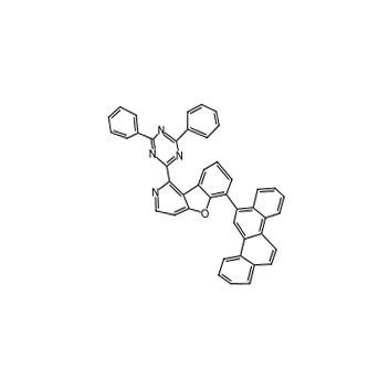 c1ccc(-c2nc(-c3ccccc3)nc(-c3nccc4oc5c(-c6cc7c8ccccc8ccc7c7ccccc67)cccc5c34)n2)cc1